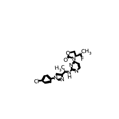 C[C@H](Nc1nccc(N2C(=O)OCC2[C@H](C)F)n1)c1cn(-c2ccc(Cl)cc2)cn1